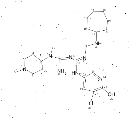 CN1CCC(N(C)/C(N)=N/C(=N\CNC2CCCCCC2)Nc2ccc(O)c(Cl)c2)CC1